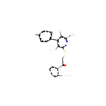 COc1ccccc1C(=O)CSc1nc(N)c(C#N)c(-c2ccc(C)cc2)c1C#N